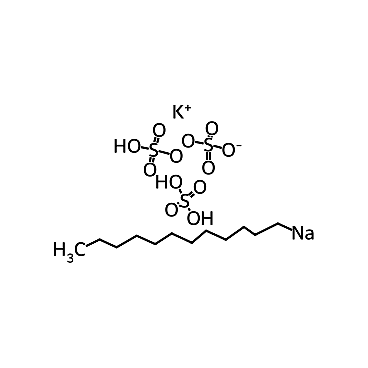 CCCCCCCCCCC[CH2][Na].O=S(=O)(O)O.O=S(=O)([O-])OOS(=O)(=O)O.[K+]